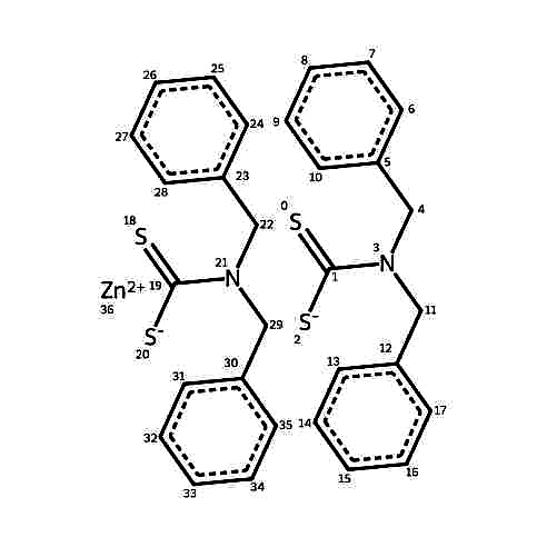 S=C([S-])N(Cc1ccccc1)Cc1ccccc1.S=C([S-])N(Cc1ccccc1)Cc1ccccc1.[Zn+2]